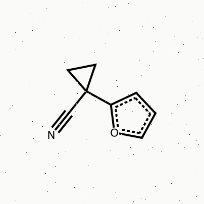 N#CC1(c2ccco2)CC1